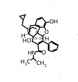 CC(C)NC(=O)C1=C(c2ccccc2)[C@@H]2Oc3c(O)ccc4c3[C@@]23CCN(CC2CC2)[C@H](C4)[C@]3(O)C1